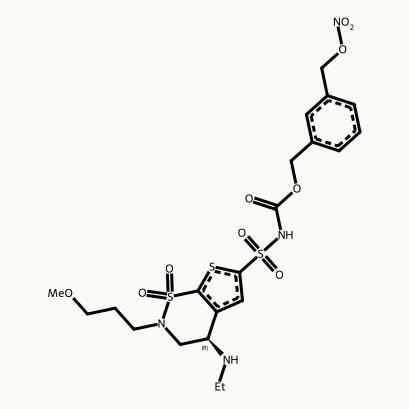 CCN[C@H]1CN(CCCOC)S(=O)(=O)c2sc(S(=O)(=O)NC(=O)OCc3cccc(CO[N+](=O)[O-])c3)cc21